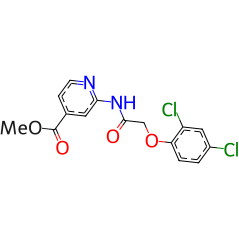 COC(=O)c1ccnc(NC(=O)COc2ccc(Cl)cc2Cl)c1